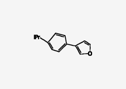 CC(C)c1ccc(-c2ccoc2)cc1